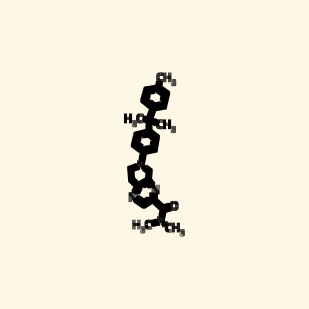 Cc1ccc(C(C)(C)c2ccc(N3CCc4ncc(C(=O)N(C)C)nc4C3)cc2)cc1